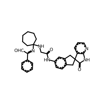 O=C/C(=N\C1(NCC(=O)Nc2ccc3c(c2)CC2(C3)C(=O)Nc3ncccc32)CCCCCC1)c1ccccc1